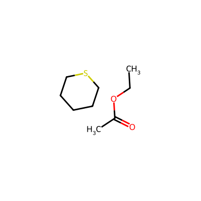 C1CCSCC1.CCOC(C)=O